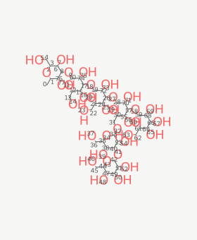 CC1OC(CO)C(O)C(OC2OC(CO)C(O)C(OC3OC(CO)C(O)C(OC4OC(COC5OC(CO)C(O)C(OC6OC(CO)C(O)C(O)C6O)C5O)C(O)C(OC5OC(CO)C(O)C(O)C5O)C4O)C3O)C2O)C1O